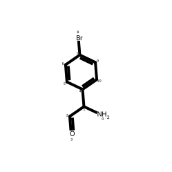 NC(C=O)c1ccc(Br)cc1